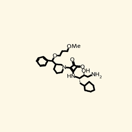 COCCCOC(c1ccccc1)C1CCCN(c2c(N[C@@H](CC3CCCCC3)[C@H](O)CN)c(=O)c2=O)C1